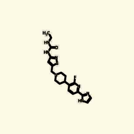 CCNC(=O)Nc1cc(CN2CCC(c3ccc(-c4ncc[nH]4)nc3F)CC2)sn1